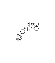 CC(C)(C)OC(=O)N1CCC(OC(=O)NC(CC2CCCCC2)C(=O)O)CC1